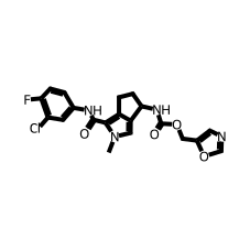 Cn1cc2c(c1C(=O)Nc1ccc(F)c(Cl)c1)CCC2NC(=O)OCc1cnco1